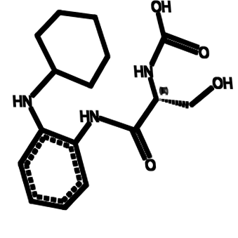 O=C(O)N[C@H](CO)C(=O)Nc1ccccc1NC1CCCCC1